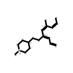 C=C/C=C(/C=C(C)\C=C/C)CCC1CCN(C)CC1